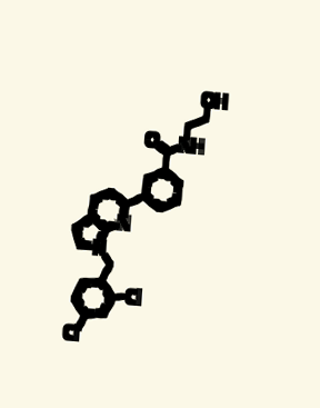 O=C(NCCO)c1cccc(-c2ccc3ccn(Cc4ccc(Cl)cc4Cl)c3n2)c1